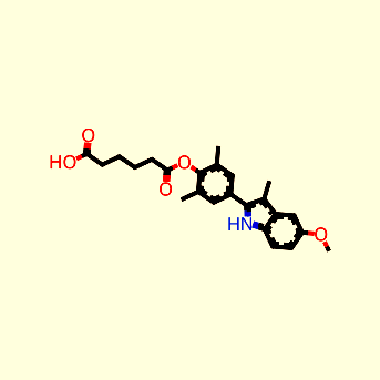 COc1ccc2[nH]c(-c3cc(C)c(OC(=O)CCCCC(=O)O)c(C)c3)c(C)c2c1